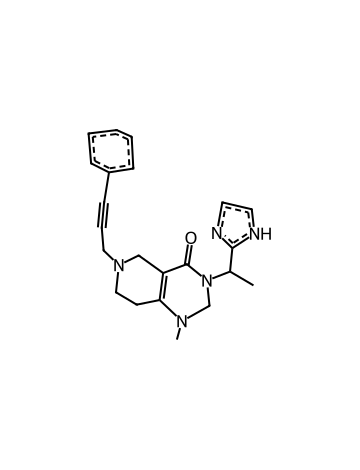 CC(c1ncc[nH]1)N1CN(C)C2=C(CN(CC#Cc3ccccc3)CC2)C1=O